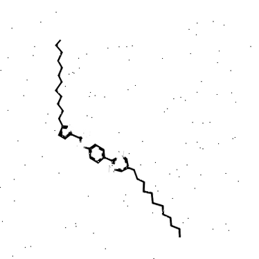 CCCCCCCCCCCCc1cnc(-c2ccc(OC(=O)c3ccc(CCCCCCCCCCCC)s3)cc2)nc1